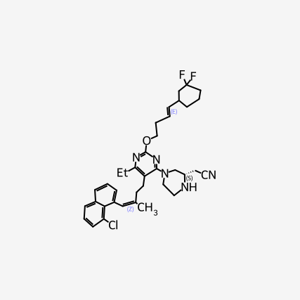 CCc1nc(OCC/C=C/C2CCCC(F)(F)C2)nc(N2CCN[C@@H](CC#N)C2)c1CC/C(C)=C\c1cccc2cccc(Cl)c12